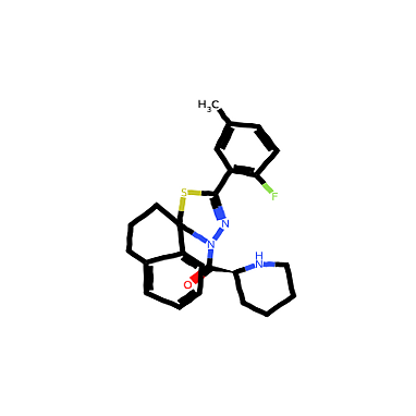 Cc1ccc(F)c(C2=NN(C(=O)[C@@H]3CCCCN3)C3(CCCc4ccccc43)S2)c1